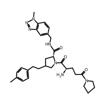 Cc1ccc(CCC2C[C@@H](C(=O)NCc3ccc4c(c3)nnn4C)N(C(=O)[C@H](N)CCC(=O)N3CCCC3)C2)cc1